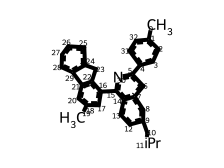 Cc1ccc(-c2cc3cc(CC(C)C)ccc3c(-c3cc(C)cc4c3Cc3ccccc3-4)n2)cc1